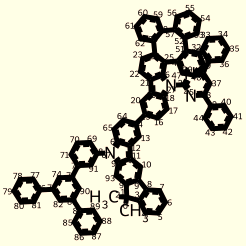 CC1(C)c2ccccc2-c2cc3c4cc(-c5ccc6c(c5)c5ccc7c(c5n6-c5nc(-c6ccccc6)cc(-c6ccccc6)n5)-c5ccccc5-c5ccccc5-c5ccccc5-7)ccc4n(-c4cccc(-c5cc(-c6ccccc6)cc(-c6ccccc6)c5)c4)c3cc21